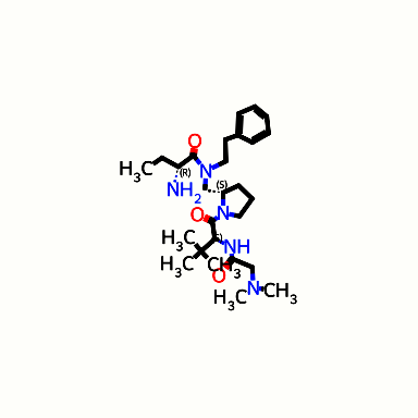 CC[C@@H](N)C(=O)N(CCc1ccccc1)C[C@@H]1CCCN1C(=O)[C@@H](NC(=O)CN(C)C)C(C)(C)C